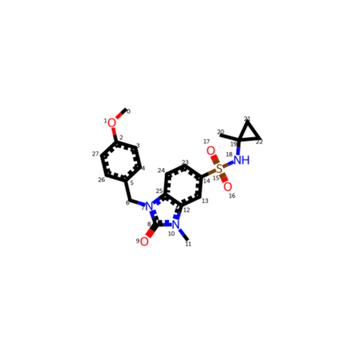 COc1ccc(Cn2c(=O)n(C)c3cc(S(=O)(=O)NC4(C)CC4)ccc32)cc1